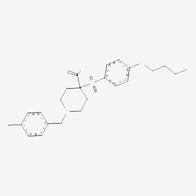 CCCCOc1ccc(S(=O)(=O)C2(C(=O)O)CCN(Cc3ccc(C)cc3)CC2)cc1